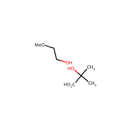 CC(C)(O)C(=O)O.COCCO